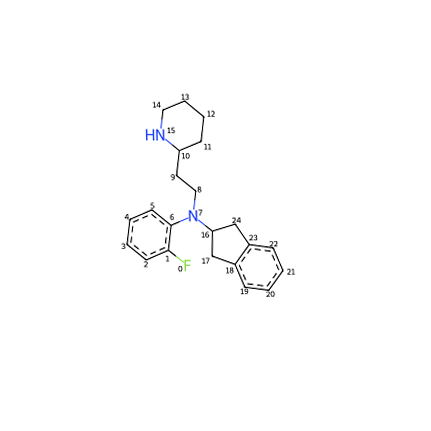 Fc1ccccc1N(CCC1CCCCN1)C1Cc2ccccc2C1